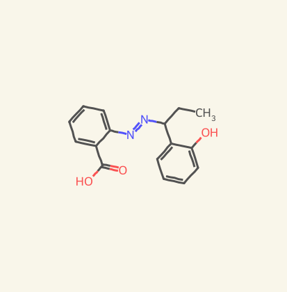 CCC(N=Nc1ccccc1C(=O)O)c1ccccc1O